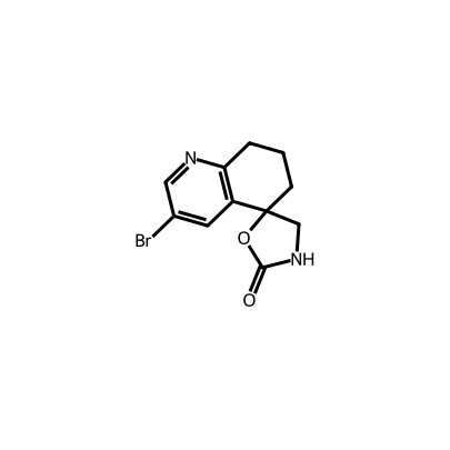 O=C1NCC2(CCCc3ncc(Br)cc32)O1